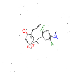 C=CC[C@H]1C[C@]2(C(C)Cc3cc(F)c(N(C)C)cc3F)OCOC2=CC1=O